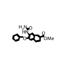 COC(=O)c1ccc2cc(OCc3ccccc3)c(NC(N)=O)cc2c1